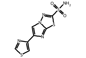 NS(=O)(=O)c1nn2cc(-c3cscn3)nc2s1